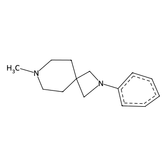 CN1CCC2(CC1)CN(c1ccccc1)C2